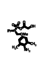 COCN(C(C)C)S(=O)(=O)OC(=O)CO.Cc1cccc(C)c1N